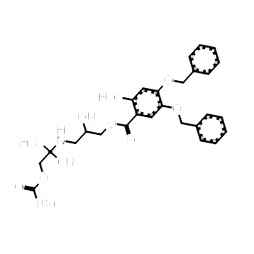 Cc1cc(OCc2ccccc2)c(OCc2ccccc2)cc1C(=O)OCC(O)CNC(C)(C)COC(=O)C(C)(C)C